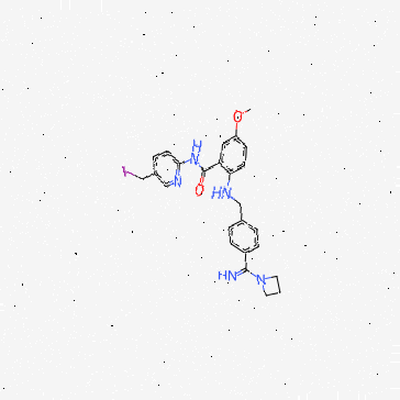 COc1ccc(NCc2ccc(C(=N)N3CCC3)cc2)c(C(=O)Nc2ccc(CI)cn2)c1